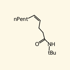 CCCCC/C=C\CCC(=O)NC(C)(C)C